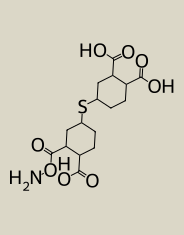 NOC(=O)C1CC(SC2CCC(C(=O)O)C(C(=O)O)C2)CCC1C(=O)O